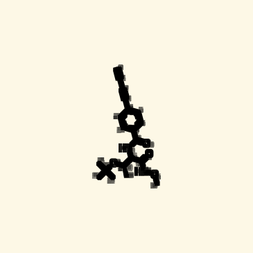 C#CC#Cc1ccc(C(=O)NC(C(=O)NOC)[C@@H](C)OC(C)(C)C)cc1